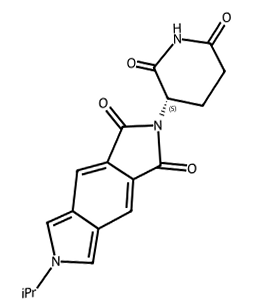 CC(C)n1cc2cc3c(cc2c1)C(=O)N([C@H]1CCC(=O)NC1=O)C3=O